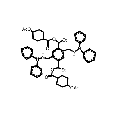 CCC(OC(=O)C1CCC(OC(C)=O)CC1)c1cc(CNN(c2ccccc2)c2ccccc2)c(C(CC)OC(=O)C2CCC(OC(C)=O)CC2)cc1CNN(c1ccccc1)c1ccccc1